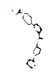 CC(C)(C)OC(=O)N1CCC(c2ccc(C(=O)NC3CCN(c4cccnn4)C3)s2)CC1